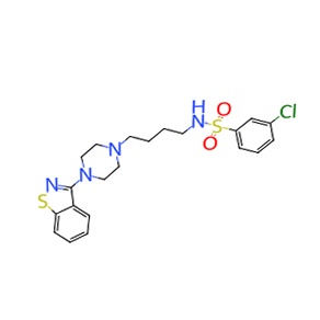 O=S(=O)(NCCCCN1CCN(c2nsc3ccccc23)CC1)c1cccc(Cl)c1